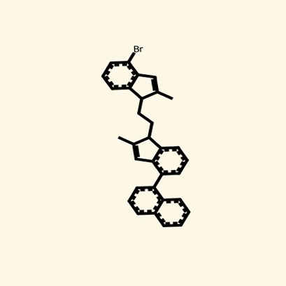 CC1=Cc2c(Br)cccc2C1CCC1C(C)=Cc2c(-c3cccc4ccccc34)cccc21